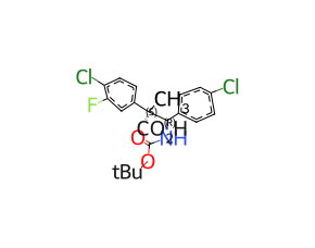 CC(C)(C)OC(=O)N[C@H](c1ccc(Cl)cc1)[C@@](C)(C(=O)O)c1ccc(Cl)c(F)c1